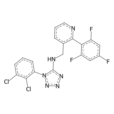 Fc1cc(F)c(-c2ncccc2CNc2nnnn2-c2cccc(Cl)c2Cl)c(F)c1